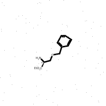 CCOC(=O)[C@@H](N)COCc1ccccc1